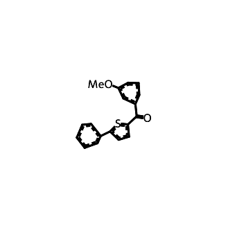 COc1cccc(C(=O)c2ccc(-c3ccccc3)s2)c1